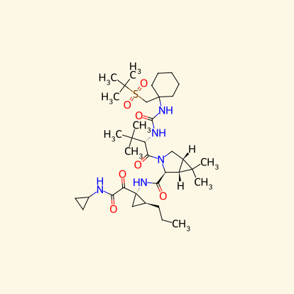 CCC[C@H]1C[C@@]1(NC(=O)[C@@H]1[C@@H]2[C@H](CN1C(=O)[C@@H](NC(=O)NC1(CS(=O)(=O)C(C)(C)C)CCCCC1)C(C)(C)C)C2(C)C)C(=O)C(=O)NC1CC1